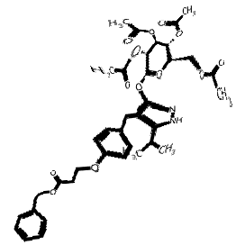 CC(=O)OC[C@H]1O[C@@H](Oc2n[nH]c(C(C)C)c2Cc2ccc(OCCC(=O)OCc3ccccc3)cc2)[C@H](OC(C)=O)[C@@H](OC(C)=O)[C@@H]1OC(C)=O